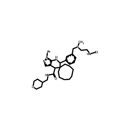 CCNCCN(C)Cc1cccc(C2Nc3c(cnn3C(C)C)C(C(=O)NCC3CCOCC3)C23CCCCCCCC3)c1